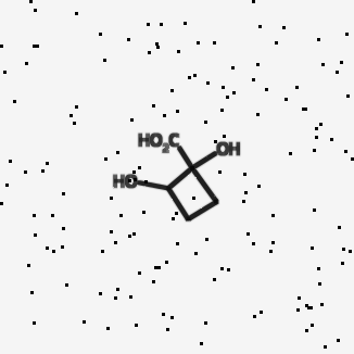 O=C(O)C1(O)CCC1O